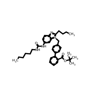 CCCCCCNC(=O)Nc1ccc2nc(CCCC)n(Cc3ccc(-c4ccccc4C(=O)OC(C)(C)C)cc3)c2c1